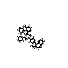 c1ccc(-c2nc(-c3ccc4c(ccc5ccc6ccccc6c54)c3)nc(-c3cccc4oc5ccccc5c34)n2)cc1